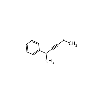 C[CH]C#CC(C)c1ccccc1